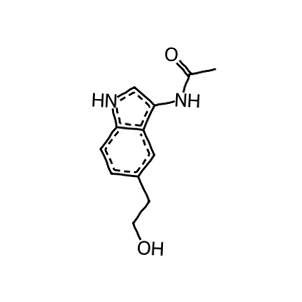 CC(=O)Nc1c[nH]c2ccc(CCO)cc12